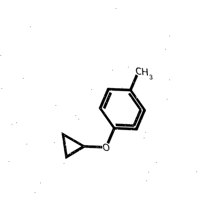 CC1=C=C=C(OC2CC2)C=C1